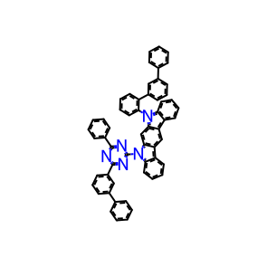 c1ccc(-c2cccc(-c3nc(-c4ccccc4)nc(-n4c5ccccc5c5cc6c7ccccc7n(-c7ccccc7-c7cccc(-c8ccccc8)c7)c6cc54)n3)c2)cc1